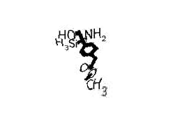 CCOC(=O)Cc1ccc([C@](N)([SiH3])CO)cc1